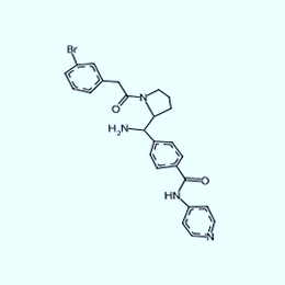 NC(c1ccc(C(=O)Nc2ccncc2)cc1)C1CCCN1C(=O)Cc1cccc(Br)c1